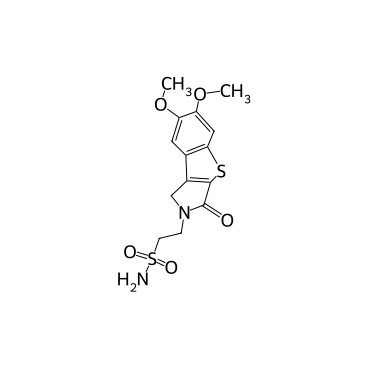 COc1cc2sc3c(c2cc1OC)CN(CCS(N)(=O)=O)C3=O